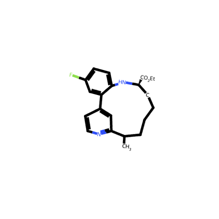 CCOC(=O)[C@H]1CCCCC(C)c2cc(ccn2)-c2cc(F)ccc2N1